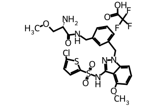 COC[C@H](N)C(=O)NCc1cccc(Cn2nc(NS(=O)(=O)c3ccc(Cl)s3)c3c(OC)cccc32)c1.O=C(O)C(F)(F)F